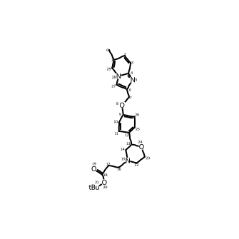 Cc1ccc2nc(COc3ccc(C4CN(CCC(=O)OC(C)(C)C)CCO4)cc3)cn2c1